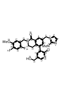 CNc1nccn1Cc1cc2c(c(-c3cc(CO)cnc3Cl)c1)CCN(Cc1cc(OC)c(F)cc1F)C2=O